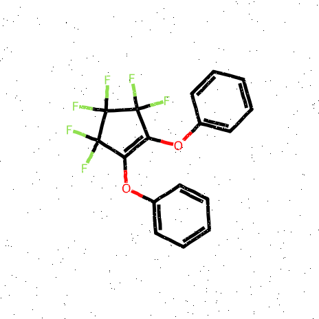 FC1(F)C(Oc2ccccc2)=C(Oc2ccccc2)C(F)(F)C1(F)F